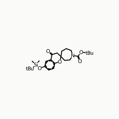 CC(C)(C)OC(=O)N1CCCC2(CC1)CC(=O)c1cc(O[Si](C)(C)C(C)(C)C)ccc1O2